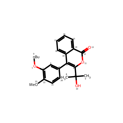 CCCCOc1cc(-c2c(C(C)(C)O)oc(=O)c3ccccc23)ccc1OC